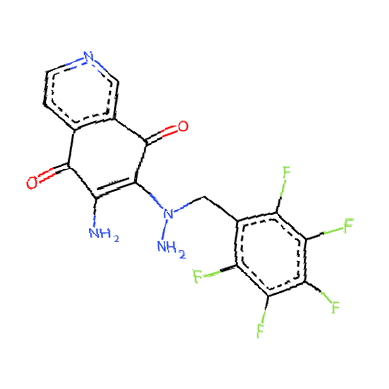 NC1=C(N(N)Cc2c(F)c(F)c(F)c(F)c2F)C(=O)c2cnccc2C1=O